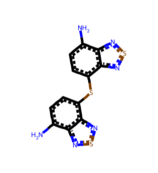 Nc1ccc(Sc2ccc(N)c3nsnc23)c2nsnc12